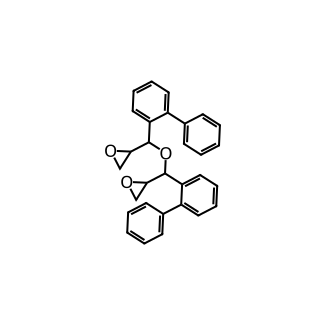 c1ccc(-c2ccccc2C(OC(c2ccccc2-c2ccccc2)C2CO2)C2CO2)cc1